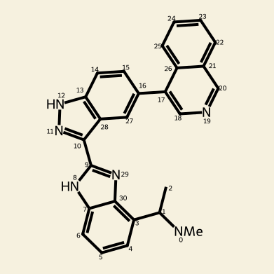 CNC(C)c1cccc2[nH]c(-c3n[nH]c4ccc(-c5cncc6ccccc56)cc34)nc12